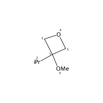 COC1(C(C)C)COC1